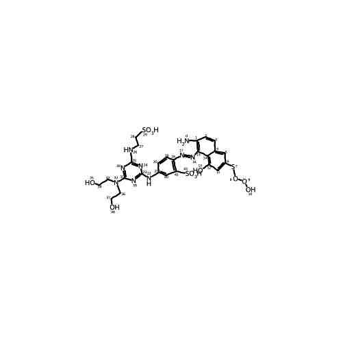 Nc1ccc2cc(SOOO)cc(O)c2c1/N=N/c1ccc(Nc2nc(NCCS(=O)(=O)O)nc(N(CCO)CCO)n2)cc1S(=O)(=O)O